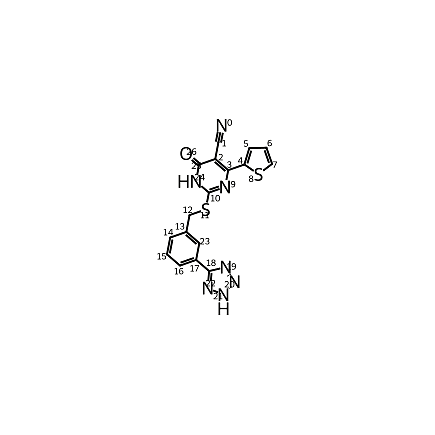 N#Cc1c(-c2cccs2)nc(SCc2cccc(-c3nn[nH]n3)c2)[nH]c1=O